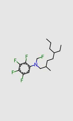 CCCC(CC)CCC(C)CN(CF)c1cc(F)c(F)c(F)c1F